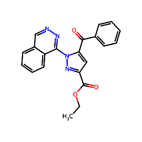 CCOC(=O)c1cc(C(=O)c2ccccc2)n(-c2nncc3ccccc23)n1